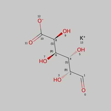 O=C[C@H](O)[C@@H](O)[C@@H](O)[C@H](O)C(=O)[O-].[K+]